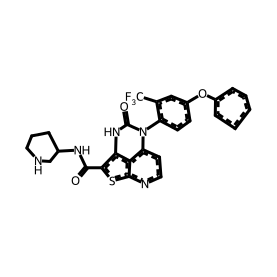 O=C(NC1CCCNC1)c1sc2nccc3c2c1NC(=O)N3c1ccc(Oc2ccccc2)cc1C(F)(F)F